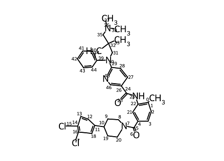 Cc1ccc(C(=O)N2CCC(c3ccc(Cl)c(Cl)c3)CC2)cc1NC(=O)c1ccc(N(CC(C)(C)CN(C)C)c2ccccc2)nc1